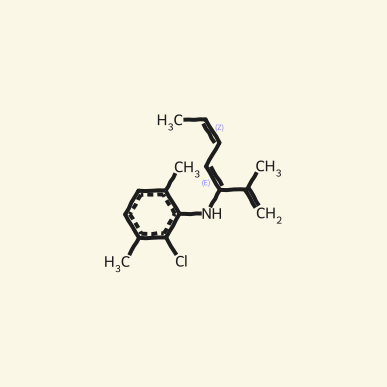 C=C(C)/C(=C\C=C/C)Nc1c(C)ccc(C)c1Cl